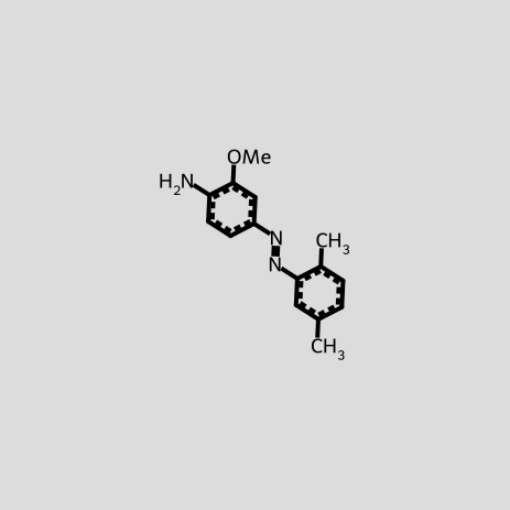 COc1cc(N=Nc2cc(C)ccc2C)ccc1N